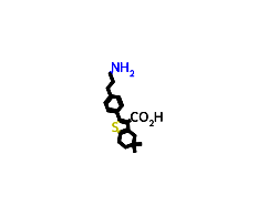 CC1(C)CCc2sc(-c3ccc(CCCN)cc3)c(C(=O)O)c2C1